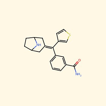 NC(=O)c1cccc(C(=C2CC3CCC(C2)N3)c2ccsc2)c1